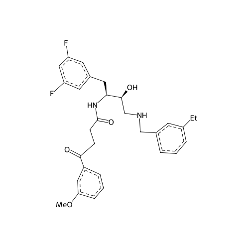 CCc1cccc(CNC[C@H](O)[C@H](Cc2cc(F)cc(F)c2)NC(=O)CCC(=O)c2cccc(OC)c2)c1